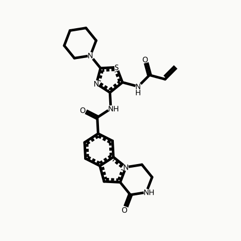 C=CC(=O)Nc1sc(N2CCCCC2)nc1NC(=O)c1ccc2cc3n(c2c1)CCNC3=O